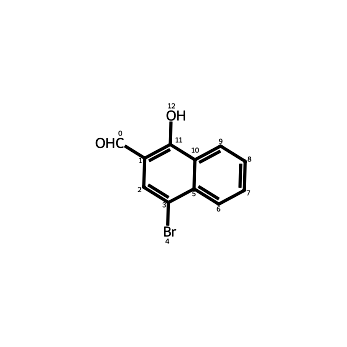 O=Cc1cc(Br)c2ccccc2c1O